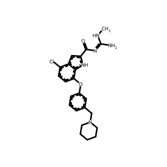 CNC(N)=NC(=O)c1cc2c(Cl)ccc(Oc3cccc(CN4CCCCC4)c3)c2[nH]1